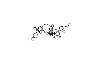 C/C(=C\c1cc(F)cc(N2CCN(C#CF)C2=O)c1)[C@@]1(O)OC(=O)CCCC[C@H](C)[C@@H](OC(=O)N2CCN(C)CC2)/C=C/[C@@H]1C